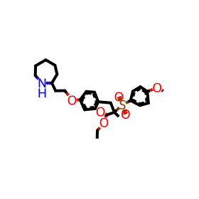 CCOC(=O)C(C)(Cc1ccc(OCCC2CCCCCN2)cc1)S(=O)(=O)c1ccc(OC)cc1